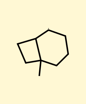 CC12CCC[CH]C1CC2